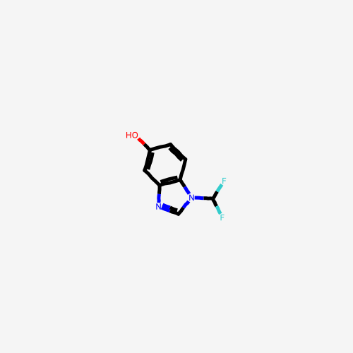 Oc1ccc2c(c1)ncn2C(F)F